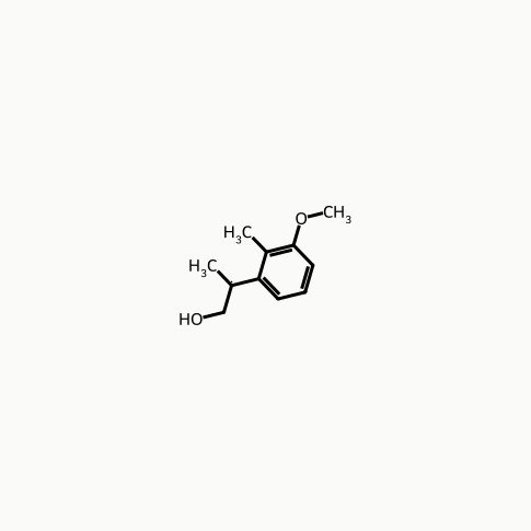 COc1cccc([C](C)CO)c1C